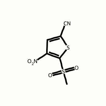 CS(=O)(=O)c1sc(C#N)cc1[N+](=O)[O-]